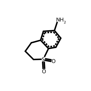 Nc1ccc2c(c1)CCCS2(=O)=O